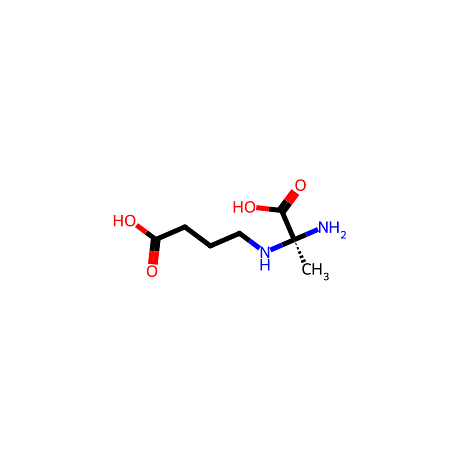 C[C@](N)(NCCCC(=O)O)C(=O)O